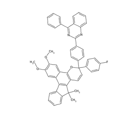 COc1cc2c3c(c4c(c2cc1OC)-c1ccccc1C4(C)C)C=CC(c1ccc(F)cc1)(c1ccc(-c2nc(-c4ccccc4)c4ccccc4n2)cc1)O3